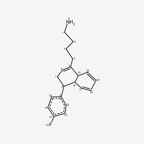 NCCCCC1=CCC(c2ccc(F)cc2)C2C=CC=CC12